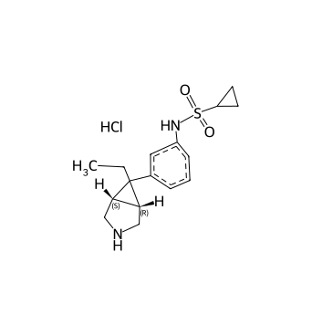 CCC1(c2cccc(NS(=O)(=O)C3CC3)c2)[C@@H]2CNC[C@@H]21.Cl